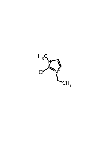 CC[n+]1ccn(C)c1Cl